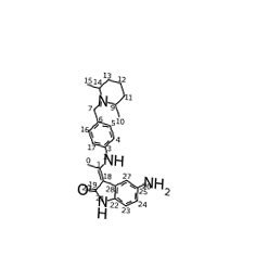 CC(Nc1ccc(CN2C(C)CCCC2C)cc1)=C1C(=O)Nc2ccc(N)cc21